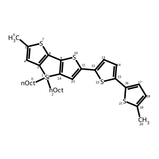 CCCCCCCC[Si]1(CCCCCCCC)c2cc(C)sc2-c2sc(-c3ccc(-c4ccc(C)s4)s3)cc21